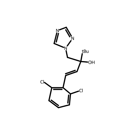 CC(C)(C)C(O)(C=Cc1c(Cl)cccc1Cl)Cn1cncn1